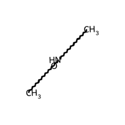 CCCCCC=CCC=CCCCCCCCCNCCOCCCCCCCCC=CCCCCCC